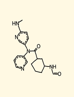 CNc1ccc(N(C(=O)C2CCCC(NC=O)C2)c2cccnc2)cn1